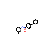 Cc1cccc(NC(=O)c2ccc(-c3ccccc3)cc2)c1